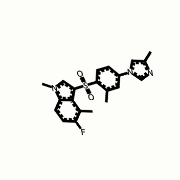 Cc1cn(-c2ccc(S(=O)(=O)c3cn(C)c4ccc(F)c(C)c34)c(C)c2)cn1